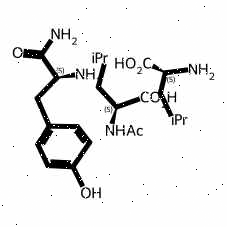 CC(=O)N[C@@H](CC(C)C)C(=O)O.CC(C)C[C@H](N)C(=O)O.NC(=O)[C@@H](N)Cc1ccc(O)cc1